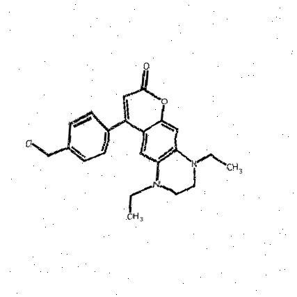 CCN1CCN(CC)c2cc3c(-c4ccc(CCl)cc4)cc(=O)oc3cc21